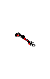 CN(C(=O)O)c1cnc(C#C/C=C/c2nc3ccc(OCC(CF)OC4CCCCO4)cc3s2)cn1